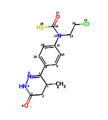 CC1CC(=O)NN=C1c1ccc(N(CCCl)C(=O)S)cc1